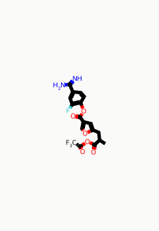 CC(Cc1cc(C(=O)Oc2ccc(C(=N)N)cc2F)co1)C(=O)OC(=O)C(F)(F)F